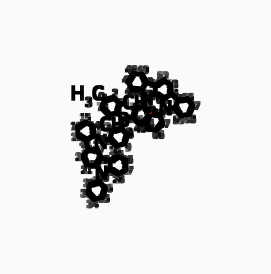 Cc1cc(C)c(B(c2cccc(-n3c4ccccc4c4ccc5c(c6ccccc6n5-c5ccccc5)c43)c2)c2cccc(-n3c4ccccc4c4ccc5c6ccccc6n(-c6ccccc6)c5c43)c2)c(C)c1